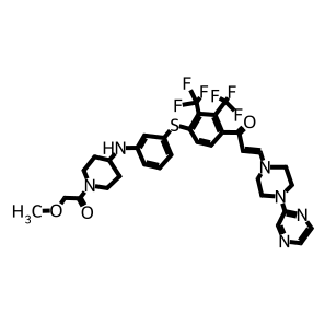 COCC(=O)N1CCC(Nc2cccc(Sc3ccc(C(=O)C=CN4CCN(c5cnccn5)CC4)c(C(F)(F)F)c3C(F)(F)F)c2)CC1